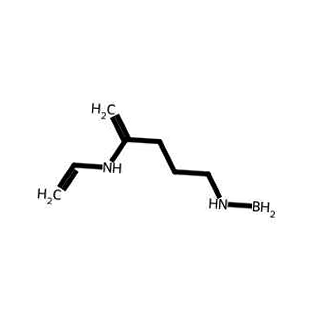 BNCCCC(=C)NC=C